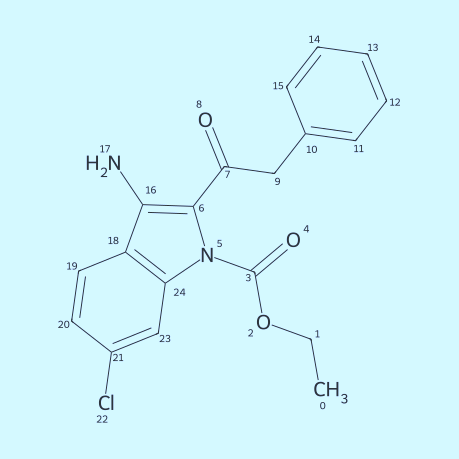 CCOC(=O)n1c(C(=O)Cc2ccccc2)c(N)c2ccc(Cl)cc21